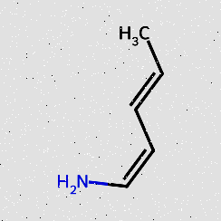 CC=C/C=C\N